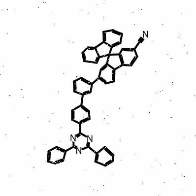 N#Cc1ccc2c(c1)C1(c3ccccc3-c3ccccc31)c1cc(-c3cccc(-c4ccc(-c5nc(-c6ccccc6)nc(-c6ccccc6)n5)cc4)c3)ccc1-2